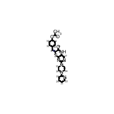 CC(=O)Oc1ccc(/C=C2/Sc3nc(N4CCN(c5ccccn5)CC4)ncc3NC2=O)cc1